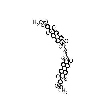 C=CS(=O)(=O)c1ccc(N2C(=O)c3ccc4c5ccc6c7c(ccc(c8ccc(c3c48)C2=O)c75)C(=O)N(CCCOCCCN2C(=O)c3ccc4c5ccc7c8c(ccc(c9ccc(c3c49)C2=O)c85)C(=O)N(c2ccc(S(=O)(=O)C=C)cc2)C7=O)C6=O)cc1